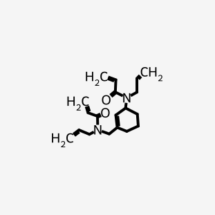 C=CCN(CC1=CC(N(CC=C)C(=O)C=C)CCC1)C(=O)C=C